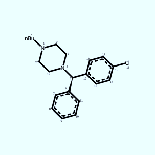 CCCCN1CCN([C@H](c2ccccc2)c2ccc(Cl)cc2)CC1